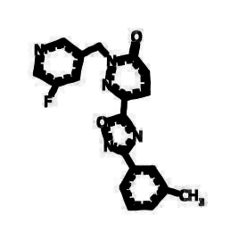 Cc1cccc(-c2noc(-c3ccc(=O)n(Cc4cncc(F)c4)n3)n2)c1